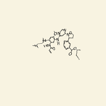 C=CC(=O)Nc1cc(Nc2cc(N3OCCC3c3cccc(C(=O)OC(C)CC)c3)ncn2)c(OC)cc1N(C)CCN(C)C